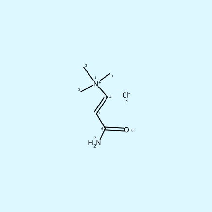 C[N+](C)(C)C=CC(N)=O.[Cl-]